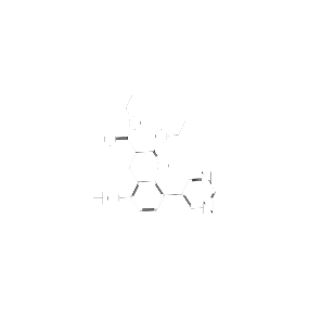 CCOC(=O)C(Cc1cc(-c2cncnc2)ccc1O)C(=O)OCC